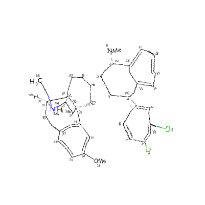 CN[C@H]1CC[C@@H](c2ccc(Cl)c(Cl)c2)c2ccccc21.COc1ccc2c(c1)[C@]13CCCC[C@@H]1[C@H](C2)N(C)CC3